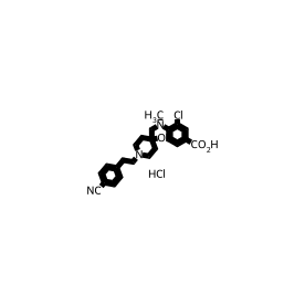 CN(CC1(O)CCN(CCc2ccc(C#N)cc2)CC1)c1ccc(C(=O)O)cc1Cl.Cl